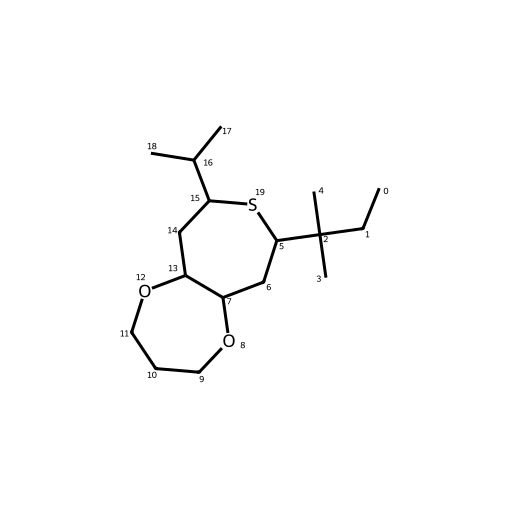 CCC(C)(C)C1CC2OCCCOC2CC(C(C)C)S1